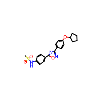 CS(=O)(=O)Nc1ccc(-c2nc(-c3ccc(OC4CCCC4)cc3)no2)cc1